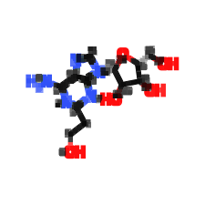 Nc1nc(CCO)nc2c1ncn2[C@@H]1O[C@H](CO)C(O)C1O